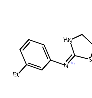 CCc1cccc(/N=C2\NCCS2)c1